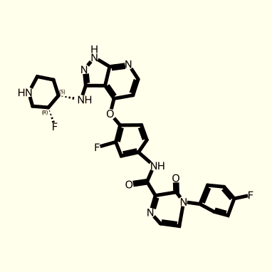 O=C(Nc1ccc(Oc2ccnc3[nH]nc(N[C@H]4CCNC[C@H]4F)c23)c(F)c1)c1nccn(-c2ccc(F)cc2)c1=O